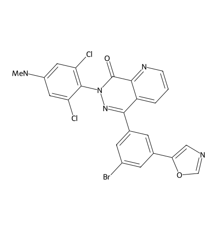 CNc1cc(Cl)c(-n2nc(-c3cc(Br)cc(-c4cnco4)c3)c3cccnc3c2=O)c(Cl)c1